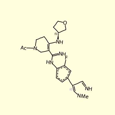 CN/C=C(\C=N)c1ccc(NC(=N)C2=C(N[C@H]3CCOC3)CCN(C(C)=O)C2)c(F)c1